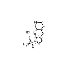 Cl.NS(=O)(=O)n1ccc(CC2CCNCC2)c1C(=O)O